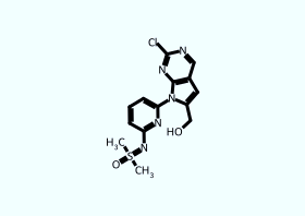 CS(C)(=O)=Nc1cccc(-n2c(CO)cc3cnc(Cl)nc32)n1